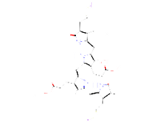 COC(=O)CCC1=C(C)C(/C=C2\NC(=O)C(C)=C2CCSI)=NC/1=C\c1[nH]c(/C=C2\NC(=O)C(CCSI)=C2C)c(C)c1CCC(=O)OC